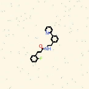 O=C(C=Cc1ccccc1F)NCCc1cccc(-c2ccccn2)c1